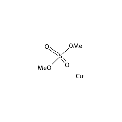 COS(=O)(=O)OC.[Cu]